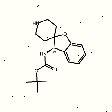 CC(C)(C)OC(=O)N[C@@H]1c2ccccc2OC12CCNCC2